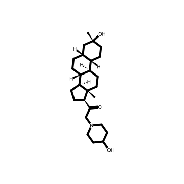 C[C@@]1(O)CC[C@H]2[C@H](CC[C@@H]3[C@@H]2CC[C@]2(C)[C@@H](C(=O)CN4CCC(O)CC4)CC[C@@H]32)C1